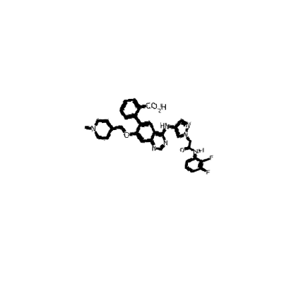 CN1CCC(COc2cc3ncnc(Nc4cnn(CC(=O)Nc5cccc(F)c5F)c4)c3cc2-c2ccccc2C(=O)O)CC1